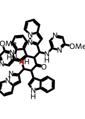 COc1cncc(NC(c2cc3ccccn3n2)C(C(=O)C(c2c[nH]c3ccccc23)C(Nc2cncc(OC)n2)c2cc3ccccn3n2)c2c[nH]c3ccccc23)n1